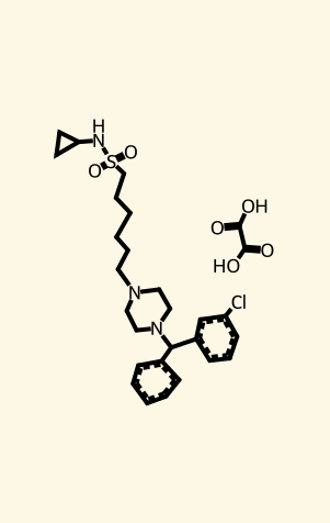 O=C(O)C(=O)O.O=S(=O)(CCCCCCN1CCN(C(c2ccccc2)c2cccc(Cl)c2)CC1)NC1CC1